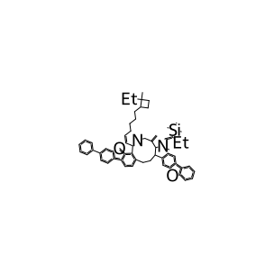 C=C1C/N=C(/C=C\CCCCC2CCC2(C)CC)c2c(ccc3c2oc2cc(-c4ccccc4)ccc23)CCC(c2ccc3c(c2)oc2ccccc23)C1N(C)/C=C(\CC)[Si](C)(C)C